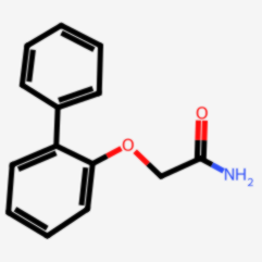 NC(=O)COc1ccccc1-c1ccccc1